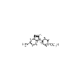 Cc1nc2cc(N)ccc2n1-c1ccc(C(=O)O)cc1